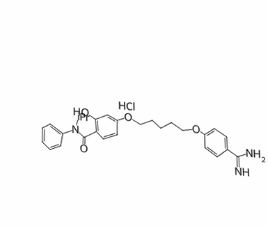 CC(C)N(C(=O)c1ccc(OCCCCCOc2ccc(C(=N)N)cc2)cc1O)c1ccccc1.Cl